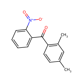 Cc1ccc(C(=O)c2ccccc2[N+](=O)[O-])c(C)c1